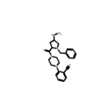 CNC1CC(C(=O)N2CCN(c3ccccc3C#N)CC2)N(Cc2ccccc2)C1